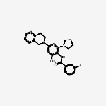 Cc1cc(N2CCc3ncccc3C2)nc(N2CCCC2)c1NC(=O)c1cccc(F)c1